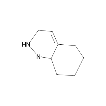 C1=C2CCCCC2[N]NC1